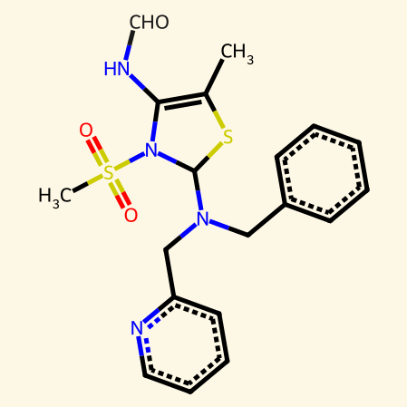 CC1=C(NC=O)N(S(C)(=O)=O)C(N(Cc2ccccc2)Cc2ccccn2)S1